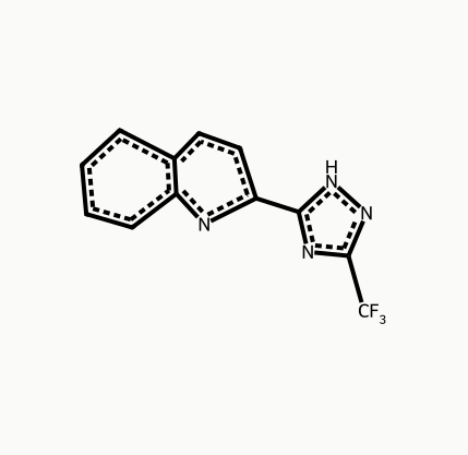 FC(F)(F)c1n[nH]c(-c2ccc3ccccc3n2)n1